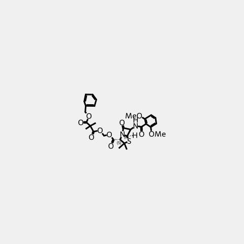 COc1cccc(OC)c1C(=O)NC1C(=O)N2[C@@H]1SC(C)(C)[C@@H]2C(=O)OCOC(=O)C(C)(C)C(=O)OCc1ccccc1